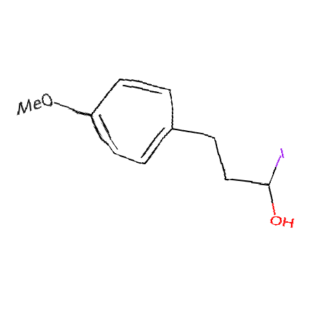 COc1ccc(CCC(O)I)cc1